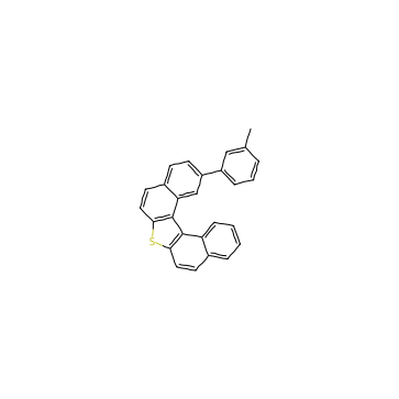 Cc1cccc(-c2ccc3ccc4sc5ccc6ccccc6c5c4c3c2)c1